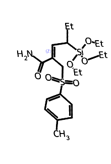 CCO[Si](OCC)(OCC)C(/C=C(\CS(=O)(=O)c1ccc(C)cc1)C(N)=O)CC